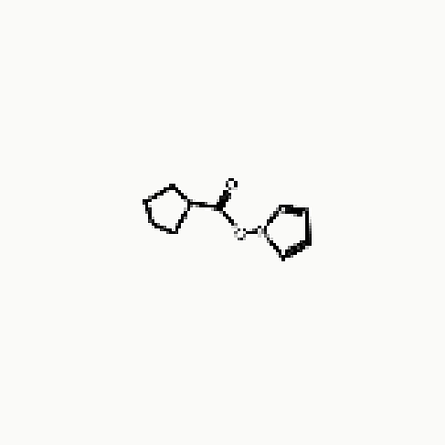 O=C(On1cccc1)C1CCCC1